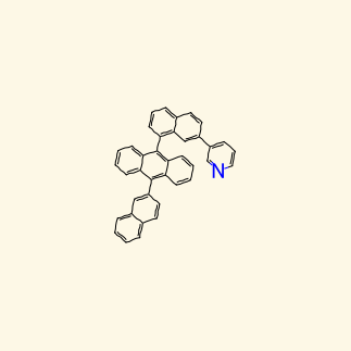 c1cncc(-c2ccc3cccc(-c4c5ccccc5c(-c5ccc6ccccc6c5)c5ccccc45)c3c2)c1